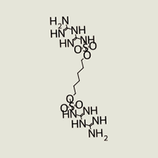 N=C(N)NC(=N)NS(=O)(=O)OCCCCCCOS(=O)(=O)NC(=N)NC(=N)N